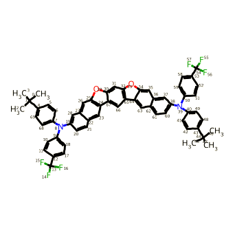 CC(C)(C)c1ccc(N(c2ccc(C(F)(F)F)cc2)c2ccc3cc4c(cc3c2)oc2cc3oc5cc6cc(N(c7ccc(C(C)(C)C)cc7)c7ccc(C(F)(F)F)cc7)ccc6cc5c3cc24)cc1